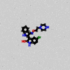 OC1Nc2ccc(Br)cc2/C1=C1/Nc2ccccc2/C1=N\OCCN1CCNCC1